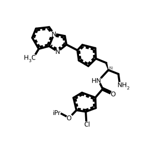 Cc1cccn2cc(-c3ccc(C[C@@H](CN)NC(=O)c4ccc(OC(C)C)c(Cl)c4)cc3)nc12